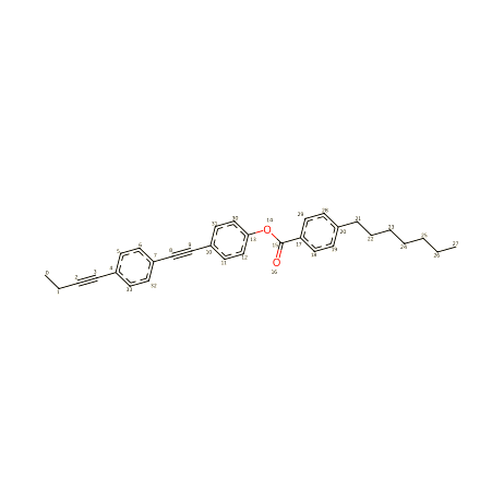 CCC#Cc1ccc(C#Cc2ccc(OC(=O)c3ccc(CCCCCCC)cc3)cc2)cc1